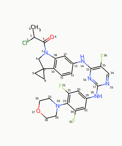 CC(Cl)C(=O)N1CC2(CC2)c2ccc(Nc3nc(Nc4cc(F)c(N5CCOCC5)c(F)c4)ncc3F)cc21